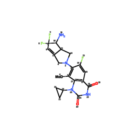 COc1c(N2CC3=CC(F)(F)C(N)C3C2)c(F)cc2c(=O)[nH]c(=O)n(C3CC3)c12